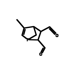 CC1=CP2CC1C(C=O)C2C=O